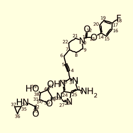 Nc1nc(C#CCC2CCN(C(=O)Oc3ccc(F)cc3)CC2)nc2c1ncn2[C@@H]1O[C@H](C(=O)NC2CC2)C(O)C1O